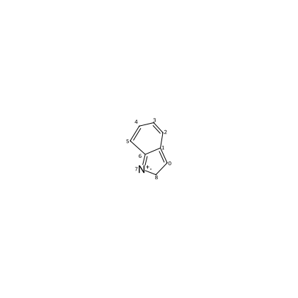 C1=c2ccccc2=[N+]C1